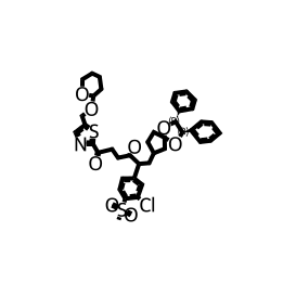 CS(=O)(=O)c1ccc(C(CC2CCC3(C2)O[C@H](c2ccccc2)[C@@H](c2ccccc2)O3)C(=O)CCC(=O)c2ncc(COC3CCCCO3)s2)cc1Cl